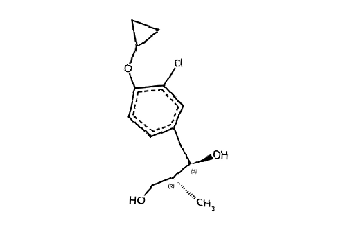 C[C@H](CO)[C@H](O)c1ccc(OC2CC2)c(Cl)c1